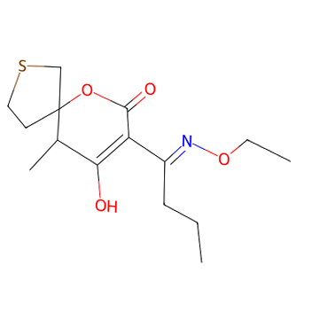 CCCC(=NOCC)C1=C(O)C(C)C2(CCSC2)OC1=O